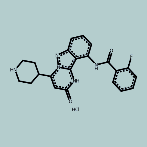 Cl.O=C(Nc1cccc2nn3c(C4CCNCC4)cc(=O)[nH]c3c12)c1ccccc1F